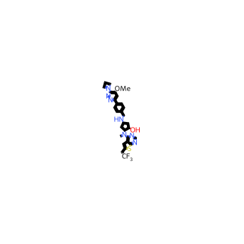 COc1cc(-c2ccc(CN[C@H]3C[C@@H](O)[C@@H](N(C)c4ncnc5sc(CC(F)(F)F)cc45)C3)cc2)nnc1N1CCC1